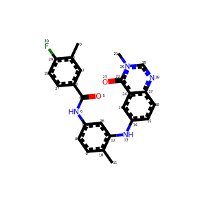 Cc1cc(C(=O)Nc2ccc(C)c(Nc3ccc4ncn(C)c(=O)c4c3)c2)ccc1F